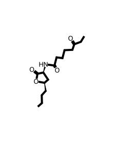 CCCC[C@@H]1C[C@H](NC(=O)CCCCC(=O)CC)C(=O)O1